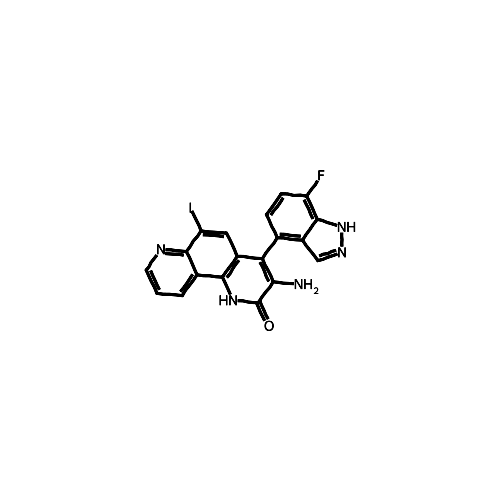 Nc1c(-c2ccc(F)c3[nH]ncc23)c2cc(I)c3ncccc3c2[nH]c1=O